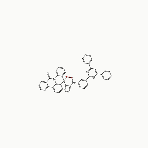 O=c1c2ccccc2c2cccc3c2n1-c1ccccc1C31c2ccccc2N(c2cccc(-c3nc(-c4ccccc4)cc(-c4ccccc4)n3)c2)c2ccccc21